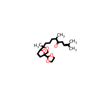 CC(C)=CCC(=O)C(C)CCCC1(C)OCC2(C3OCCO3)CCC1O2